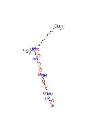 O=C(O)CCCCCCCCCCCCCCC(=O)N[C@@H](CCC(=O)NCCOCCOCC(=O)NCCOCCOCCC(=O)NCCNC(=O)CBr)C(=O)O